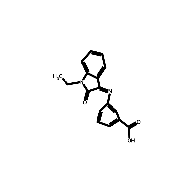 CCN1C(=O)/C(=N\c2cccc(C(=O)O)c2)c2ccccc21